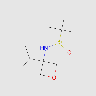 CC(C)C1(N[S+]([O-])C(C)(C)C)COC1